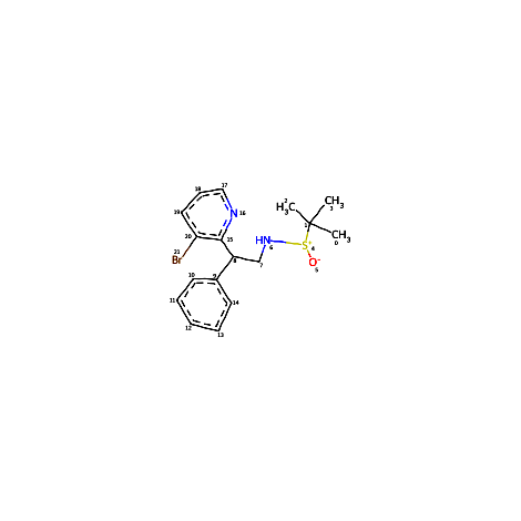 CC(C)(C)[S+]([O-])NCC(c1ccccc1)c1ncccc1Br